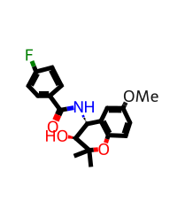 COc1ccc2c(c1)[C@@H](NC(=O)c1ccc(F)cc1)[C@H](O)C(C)(C)O2